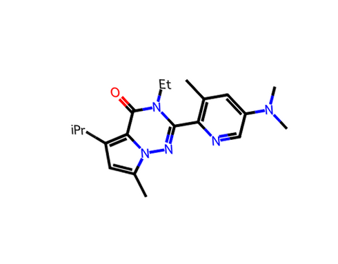 CCn1c(-c2ncc(N(C)C)cc2C)nn2c(C)cc(C(C)C)c2c1=O